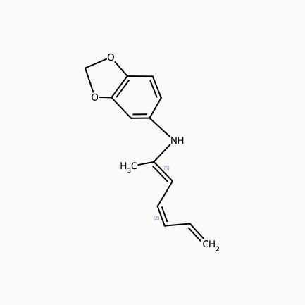 C=C/C=C\C=C(/C)Nc1ccc2c(c1)OCO2